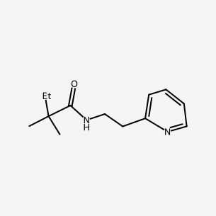 CCC(C)(C)C(=O)NCCc1ccccn1